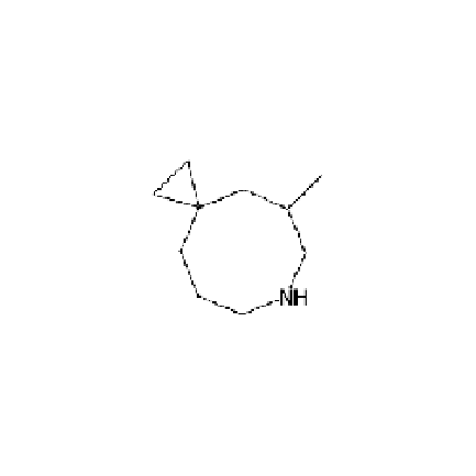 CC1CNCCCC2(CC2)C1